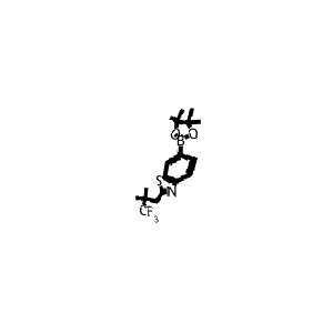 CC(C)(Cc1nc2ccc(B3OC(C)(C)C(C)(C)O3)cc2s1)C(F)(F)F